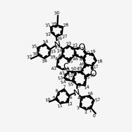 Cc1ccc(N(c2ccc(C)cc2)c2cc3oc4ccc5oc6cc(N(c7ccc(C)cc7)c7ccc(C)cc7)c7ccccc7c6c5c4c3c3ccccc23)cc1